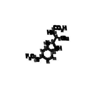 CC(C)(C)C(NC(=O)O)c1nc2cc(SC(F)(F)F)ccc2[nH]1